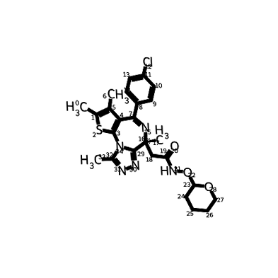 Cc1sc2c(c1C)C(c1ccc(Cl)cc1)=N[C@](C)(CC(=O)NOC1CCCCO1)c1nnc(C)n1-2